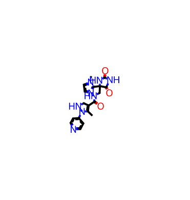 CC1=C(C(=O)NCC2(c3nccn3C)NC(=O)NC2=O)CNN1c1ccncc1